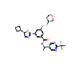 CC(NC(=O)c1cc(OCC2CCOC2)cc(-c2ncc(C3CCC3)s2)c1)c1cnc(C(F)(F)F)nc1